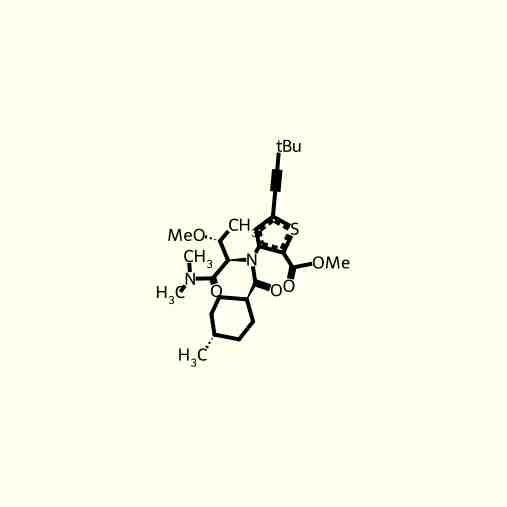 COC(=O)c1sc(C#CC(C)(C)C)cc1N(C(=O)[C@H]1CC[C@H](C)CC1)[C@@H](C(=O)N(C)C)[C@@H](C)OC